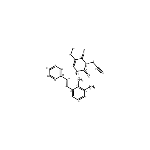 C#CCn1c(=O)[nH]cc(CC)c1=O.Nc1cccc(C=Cc2ccccc2)c1N